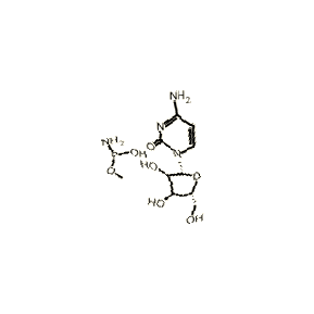 COP(N)O.Nc1ccn([C@@H]2O[C@H](CO)[C@@H](O)[C@H]2O)c(=O)n1